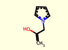 C=C(O)Cn1cccc1